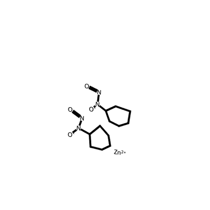 O=NN([O-])C1CCCCC1.O=NN([O-])C1CCCCC1.[Zn+2]